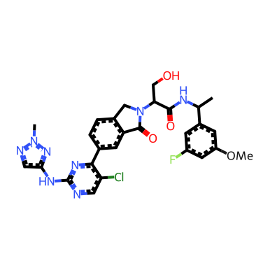 COc1cc(F)cc(C(C)NC(=O)C(CO)N2Cc3ccc(-c4nc(Nc5cnn(C)n5)ncc4Cl)cc3C2=O)c1